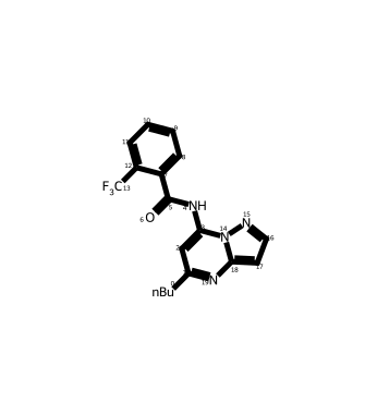 CCCCc1cc(NC(=O)c2ccccc2C(F)(F)F)n2nccc2n1